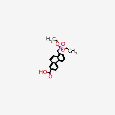 CCOP(=O)(Cc1cccc2c1ccc1cc(C(=O)O)ccc12)OCC